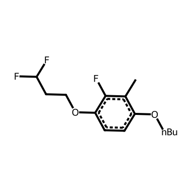 CCCCOc1ccc(OCCC(F)F)c(F)c1C